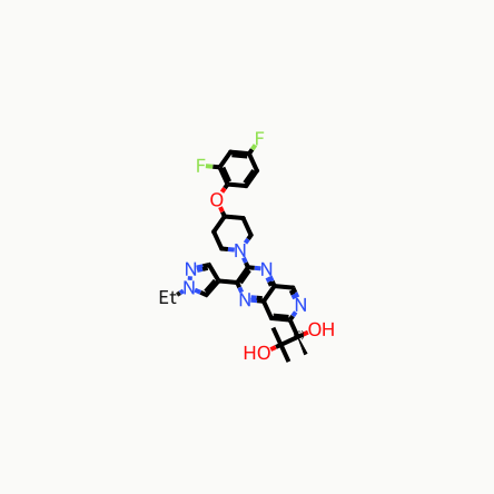 CCn1cc(-c2nc3cc([C@](C)(O)C(C)(C)O)ncc3nc2N2CCC(Oc3ccc(F)cc3F)CC2)cn1